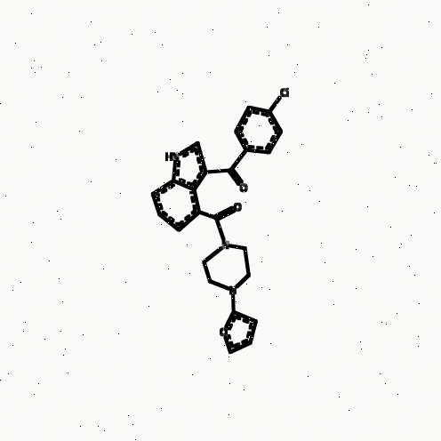 O=C(c1ccc(Cl)cc1)c1c[nH]c2cccc(C(=O)N3CCN(c4ccco4)CC3)c12